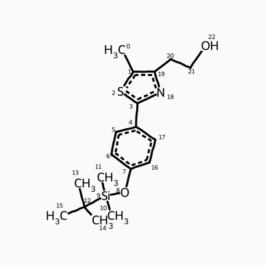 Cc1sc(-c2ccc(O[Si](C)(C)C(C)(C)C)cc2)nc1CCO